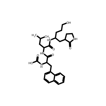 CC(C)CC(NC(=O)C(Cc1cccc2ccccc12)NC(=O)O)C(=O)NC(CCCO)CC1CCNC1=O